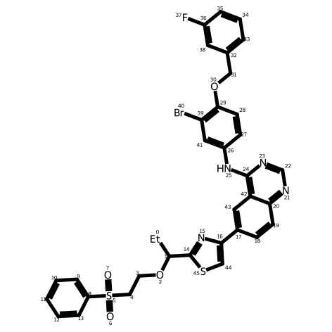 CCC(OCCS(=O)(=O)c1ccccc1)c1nc(-c2ccc3ncnc(Nc4ccc(OCc5cccc(F)c5)c(Br)c4)c3c2)cs1